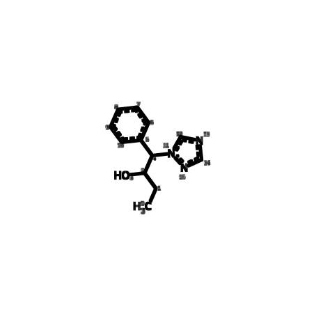 CCC(O)C(c1ccccc1)n1cncn1